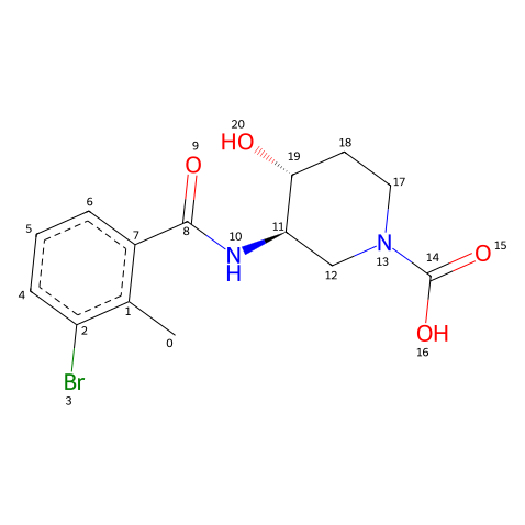 Cc1c(Br)cccc1C(=O)N[C@@H]1CN(C(=O)O)CC[C@H]1O